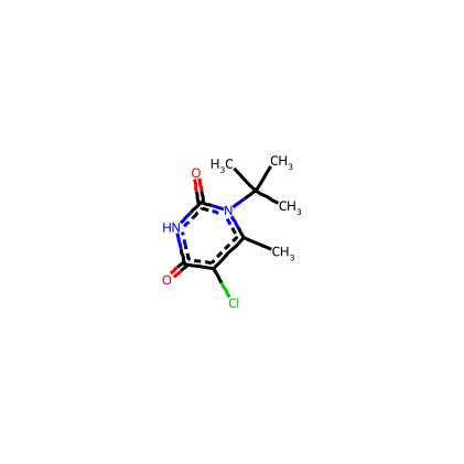 Cc1c(Cl)c(=O)[nH]c(=O)n1C(C)(C)C